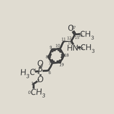 CCOP(C)(=O)Cc1ccc(C[C@H](NC)C(C)=O)cc1